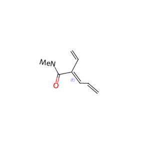 C=C/C=C(\C=C)C(=O)NC